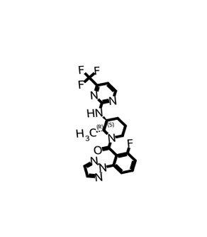 C[C@@H]1[C@@H](Nc2nccc(C(F)(F)F)n2)CCCN1C(=O)c1c(F)cccc1-n1nccn1